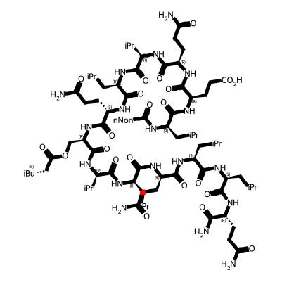 CCCCCCCCCC(=O)N[C@H](CC(C)C)C(=O)N[C@H](CCC(=O)O)C(=O)N[C@H](CCC(N)=O)C(=O)N[C@@H](C(=O)N[C@H](CC(C)C)C(=O)N[C@@H](CCC(N)=O)C(=O)N[C@H](COC(=O)C[C@@H](C)CC)C(=O)N[C@@H](C(=O)N[C@H](CC(C)C)C(=O)N[C@H](CCC(N)=O)C(=O)N[C@@H](CC(C)C)C(=O)N[C@@H](CC(C)C)C(=O)N[C@H](CCC(N)=O)C(N)=O)C(C)C)C(C)C